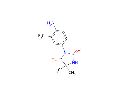 CC1(C)NC(=O)N(c2ccc(N)c(C(F)(F)F)c2)C1=O